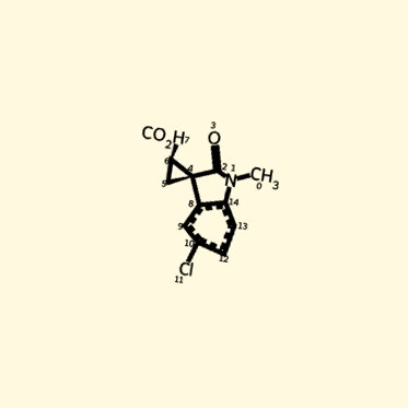 CN1C(=O)[C@]2(C[C@H]2C(=O)O)c2cc(Cl)ccc21